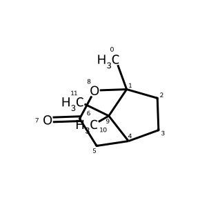 CC12CCC(CC(=O)O1)C2(C)C